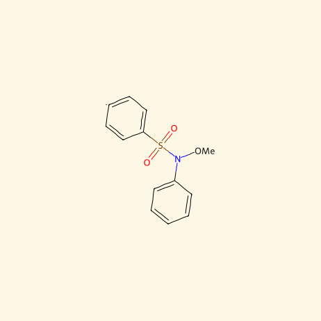 CON(c1ccccc1)S(=O)(=O)c1cc[c]cc1